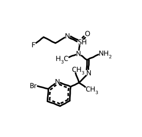 CN(/C(N)=N\C(C)(C)c1cccc(Br)n1)/[SH](=O)=N\CCF